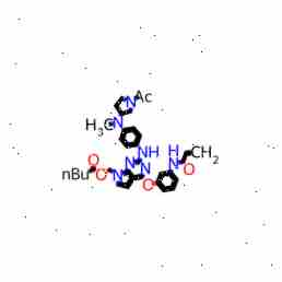 C=CC(=O)Nc1cccc(Oc2nc(Nc3ccc(N(C)C4CCN(C(C)=O)C4)cc3)nc3c2ccn3COC(=O)CCCC)c1